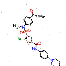 COC(=O)c1ccc(N(C)S(=O)(=O)c2cc(C(=O)Nc3ccc(N4CCCCC4)cc3)sc2Br)cc1